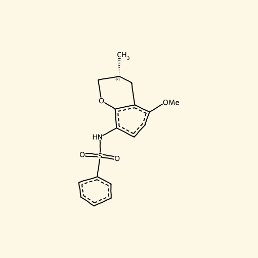 COc1ccc(NS(=O)(=O)c2ccccc2)c2c1C[C@@H](C)CO2